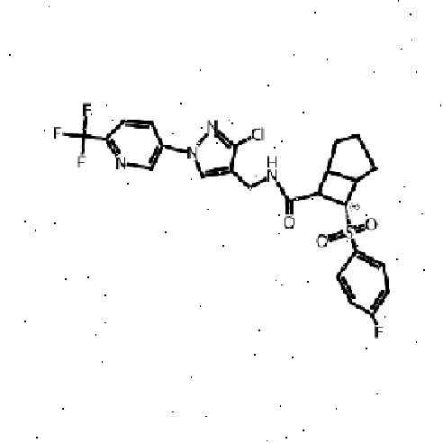 O=C(NCc1cn(-c2ccc(C(F)(F)F)nc2)nc1Cl)C1C2CCCC2[C@H]1S(=O)(=O)c1ccc(F)cc1